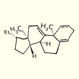 CC[C@H]1CC[C@H]2[C@@H]3CCC4=CCC=C[C@]4(C)C3=CC[C@]12C